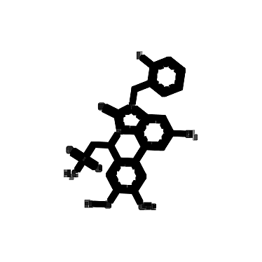 CCOc1cc2c(cc1OC)-c1cc(C(F)(F)F)cc3c1n(c(=O)n3Cc1ccccc1F)C2CS(C)(=O)=O